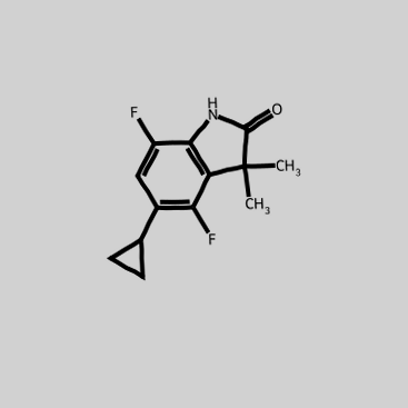 CC1(C)C(=O)Nc2c(F)cc(C3CC3)c(F)c21